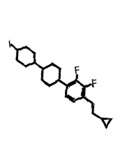 Fc1c(CCC2CC2)ccc(C2CCC(C3CCC(I)CC3)CC2)c1F